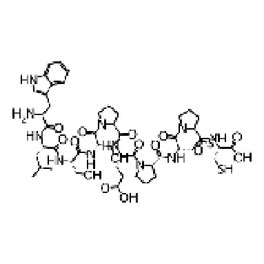 CSCC[C@H](NC(=O)[C@@H]1CCCN1C(=O)[C@H](CCC(=O)O)NC(=O)[C@@H]1CCCN1C(=O)[C@@H](NC(=O)[C@H](CO)NC(=O)[C@H](CC(C)C)NC(=O)[C@@H](N)Cc1c[nH]c2ccccc12)[C@@H](C)O)C(=O)N1CCC[C@H]1C(=O)N[C@@H](CS)C(=O)O